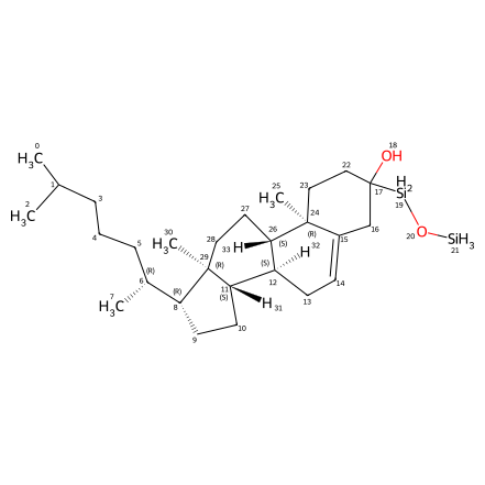 CC(C)CCC[C@@H](C)[C@H]1CC[C@H]2[C@@H]3CC=C4CC(O)([SiH2]O[SiH3])CC[C@]4(C)[C@H]3CC[C@]12C